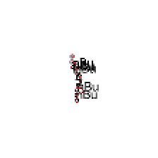 CCCCC1(CCCC)c2cc(-c3ccccc3)ccc2-c2ccc3c(c21)C(CCCC)(CCCC)c1cc(-c2ccc(-c4ccc(-c5ccc6c(c5)C5(CCCC)CCC(C)(C)CCC7(CCCC)c8cc(-c9ccccc9)ccc8-c8ccc-6c5c87)s4)s2)ccc1-3